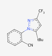 CC(C)(C)c1cc(C(F)(F)F)nn1-c1ccccc1C#N